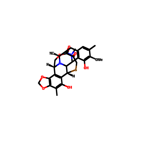 COc1c(C)cc2c(c1O)C1C3[C@@H]4SCC(=O)C(=O)OC[C@@H](c5c6c(c(C)c(O)c54)OCO6)N3[C@@H](C#N)C(C2)N1C